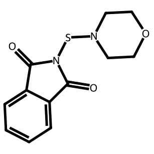 O=C1c2ccccc2C(=O)N1SN1CCOCC1